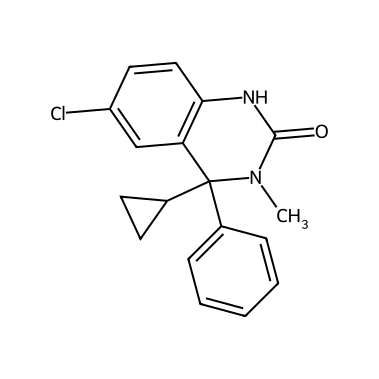 CN1C(=O)Nc2ccc(Cl)cc2C1(c1ccccc1)C1CC1